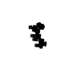 C=C(/C=C\c1c(C)nc(Cl)nc1N1CCc2ccccc21)[C@@H]1O[C@H](COP(=O)(O)CP(=O)(O)O)[C@@H](O)[C@H]1O